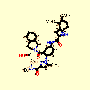 CCCCN(CCCC)C(=O)c1cc(C)n(-c2ccc(NC(=O)c3cc4c(OC)c(OC)ccc4[nH]3)cc2C(=O)N2Cc3ccccc3C[C@H]2CO)n1